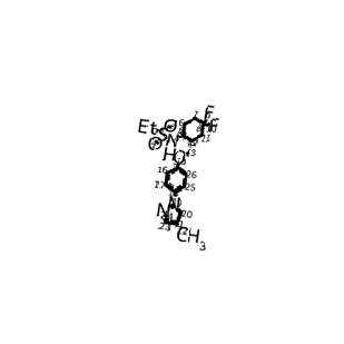 CCS(=O)(=O)N[C@H]1CCC(F)(F)C[C@@H]1COc1ccc(-n2cc(C)cn2)cc1